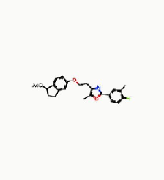 CC(=O)OC1CCc2cc(OCCc3nc(-c4ccc(F)c(C)c4)oc3C)ccc21